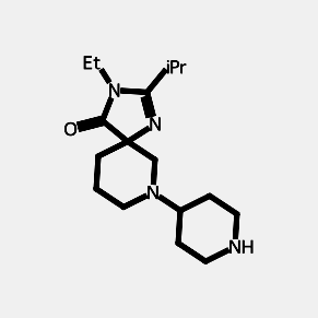 CCN1C(=O)C2(CCCN(C3CCNCC3)C2)N=C1C(C)C